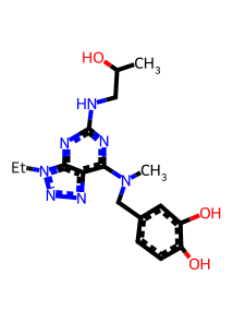 CCn1nnc2c(N(C)Cc3ccc(O)c(O)c3)nc(NCC(C)O)nc21